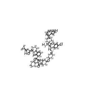 NC1(C(=O)N[C@@H](CCN2CCC(OC3CCN(C(=O)[C@H](NC(=O)c4cccc(C5CCCN(C(=O)CNC6CC6)C5)c4F)C4CCCCC4)CC3)CC2)c2ccc(Cl)cc2)CCN(c2ncnc3[nH]ccc23)CC1